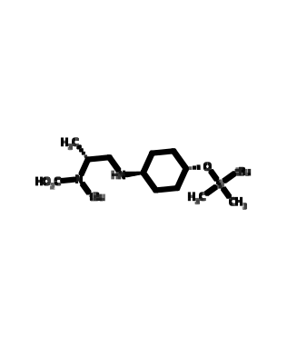 C[C@H](CN[C@H]1CC[C@H](O[Si](C)(C)C(C)(C)C)CC1)N(C(=O)O)C(C)(C)C